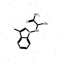 CCCCC(Nn1cc(C)c2ccccc21)C(N)=O